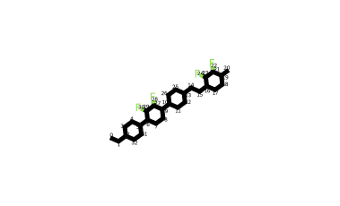 CCC1CCC(C2CCC(C3CCC(CCC4CCC(C)C(F)C4F)CC3)C(F)C2F)CC1